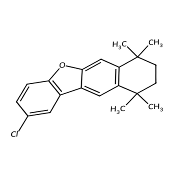 CC1(C)CCC(C)(C)c2cc3c(cc21)oc1ccc(Cl)cc13